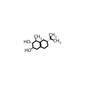 C=C(C)[C@@H]1CCC2=C(C1)[C@H](C)[C@@H](O)[C@H](O)C2